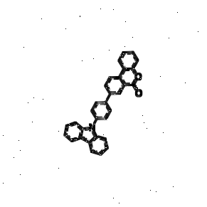 O=c1oc2ccccc2c2ccc(-c3ccc(-n4c5ccccc5c5ccccc54)cc3)cc12